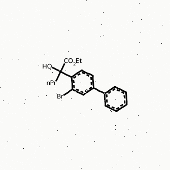 CCCC(O)(C(=O)OCC)c1ccc(-c2ccccc2)cc1Br